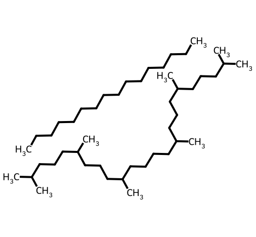 CC(C)CCCC(C)CCCC(C)CCCCC(C)CCCC(C)CCCC(C)C.CCCCCCCCCCCCCCCC